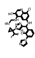 Cc1c(C(Nc2cc(Cl)c3ncc(C#N)c(NCC(C)(C)C)c3c2)c2cn(C3(C(F)F)CC3)nn2)cccc1-n1ccnc1